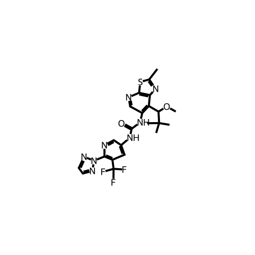 COC(c1c(NC(=O)Nc2cnc(-n3nccn3)c(C(F)(F)F)c2)cnc2sc(C)nc12)C(C)(C)C